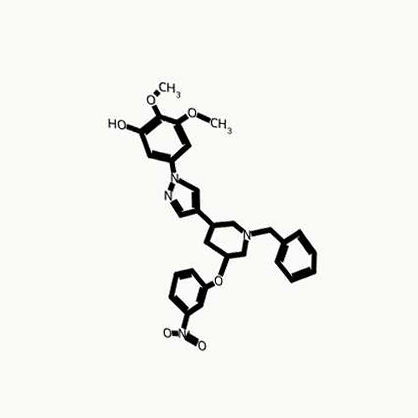 COc1cc(-n2cc(C3CC(Oc4cccc([N+](=O)[O-])c4)CN(Cc4ccccc4)C3)cn2)cc(O)c1OC